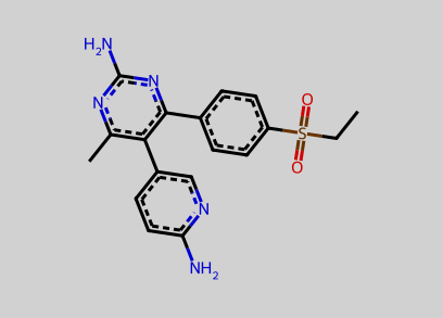 CCS(=O)(=O)c1ccc(-c2nc(N)nc(C)c2-c2ccc(N)nc2)cc1